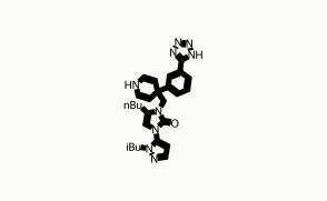 CCCCc1cn(-c2ccnn2C(C)CC)c(=O)n1CC1(c2cccc(-c3nnn[nH]3)c2)C=CNC=C1